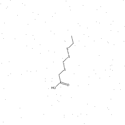 CCSSCSCC(=O)O